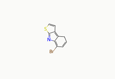 BrC1=C2N=c3sccc3=C2CC=C1